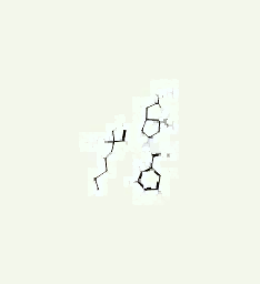 CCCCCC(C)(O)/C=C/[C@@H]1C2CC(O)O[C@H]2C[C@H]1OC(=O)c1ccccc1